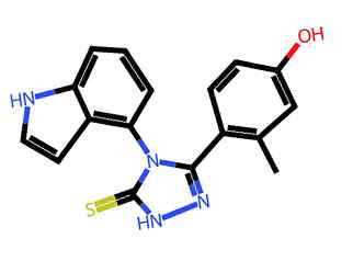 Cc1cc(O)ccc1-c1n[nH]c(=S)n1-c1cccc2[nH]ccc12